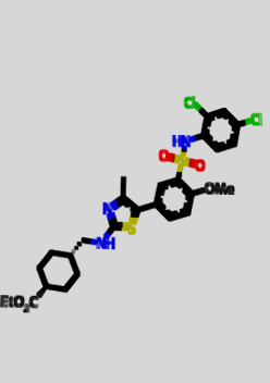 CCOC(=O)[C@H]1CC[C@H](CNc2nc(C)c(-c3ccc(OC)c(S(=O)(=O)Nc4ccc(Cl)cc4Cl)c3)s2)CC1